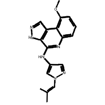 COc1cccc2nc(Nc3cnn(C=C(C)C)c3)c3[nH]ncc3c12